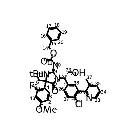 COc1ccc(C2(CC(C)(C)C)NC(=NC(=O)OCc3ccccc3)N([C@H](CO)c3ccc(Cl)c(-c4ncccc4C)c3)C2=O)c(F)c1